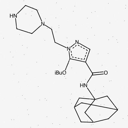 CC(C)COc1c(C(=O)NC23CC4CC(CC(C4)C2)C3)cnn1CCN1CCNCC1